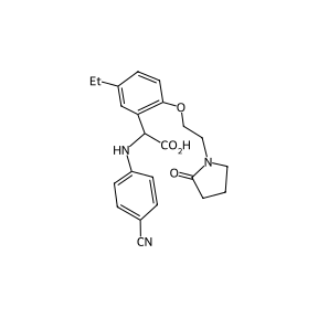 CCc1ccc(OCCN2CCCC2=O)c(C(Nc2ccc(C#N)cc2)C(=O)O)c1